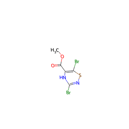 COC(=O)C1=C(Br)SN=C(Br)N1